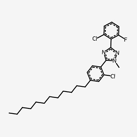 CCCCCCCCCCCCc1ccc(-c2nc(-c3c(F)cccc3Cl)nn2C)c(Cl)c1